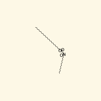 CCCCCCCCCCCCCCCCCCCCCCCCOC(=O)CCN(C)C(=O)CCCCCCCCCCCCC